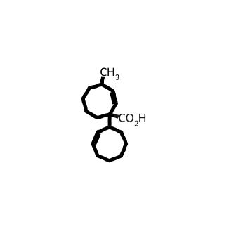 CC1/C=C\C(C(=O)O)(C2/C=C\CCCCC2)CCCC1